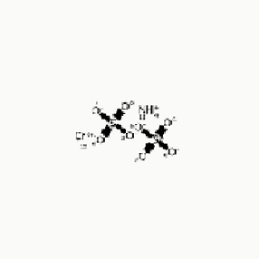 O=S(=O)([O-])[O-].O=S(=O)([O-])[O-].[Cr+3].[NH4+]